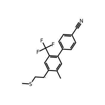 CSC[CH]c1cc(C(F)(F)F)c(-c2ccc(C#N)cc2)cc1C